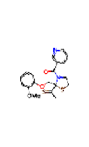 COc1ccccc1OCC1(C(C)=S)SCCN1C(=O)c1cccnc1